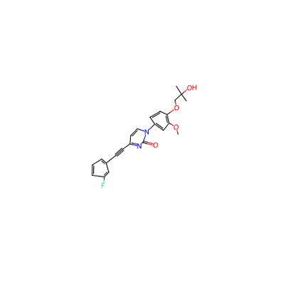 COc1cc(-n2ccc(C#Cc3cccc(F)c3)nc2=O)ccc1OCC(C)(C)O